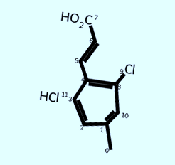 Cc1ccc(C=CC(=O)O)c(Cl)c1.Cl